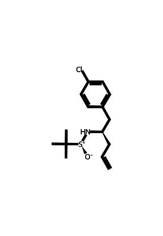 C=CC[C@H](Cc1ccc(Cl)cc1)N[S@@+]([O-])C(C)(C)C